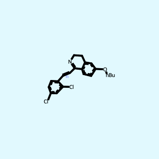 CCCCOc1ccc2c(c1)CCN=C2/C=C/c1ccc(Cl)cc1Cl